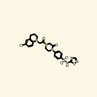 O=C(CN1CCCc2cc(Cl)ccc21)N1CCN(c2ccc(S(=O)(=O)Nc3ncns3)cc2)C(=O)C1